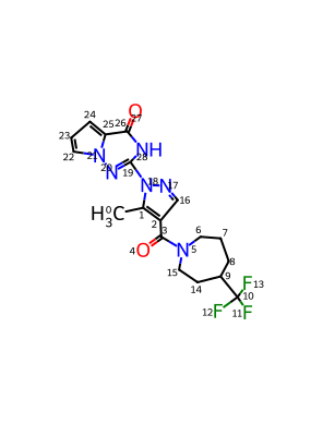 Cc1c(C(=O)N2CCCC(C(F)(F)F)CC2)cnn1-c1nn2cccc2c(=O)[nH]1